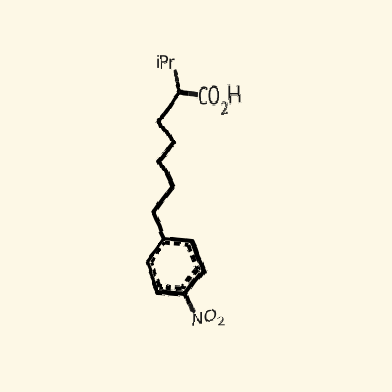 CC(C)C(CCCCCc1ccc([N+](=O)[O-])cc1)C(=O)O